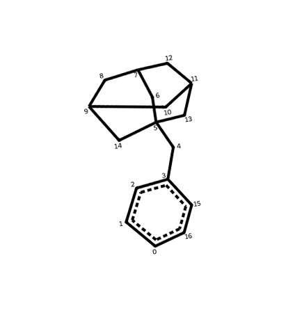 c1ccc(CC23CC4CC(CC(C4)C2)C3)cc1